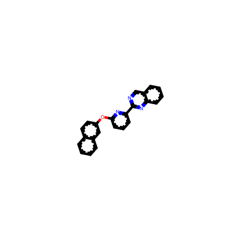 c1cc(Oc2ccc3ccccc3c2)nc(-c2ncc3ccccc3n2)c1